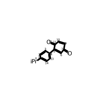 CC(C)c1ccc(C2=CC(=O)C=CC2=O)cc1